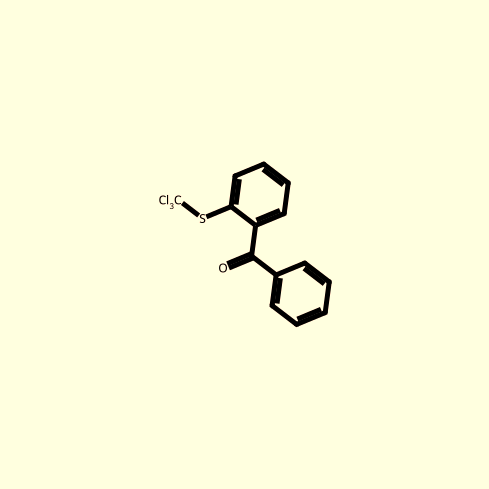 O=C(c1ccccc1)c1ccccc1SC(Cl)(Cl)Cl